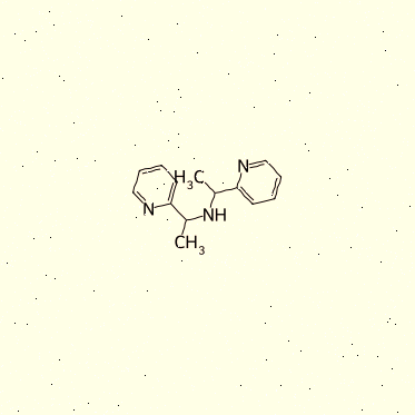 CC(NC(C)c1ccccn1)c1ccccn1